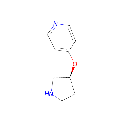 c1cc(O[C@H]2CCNC2)ccn1